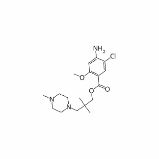 COc1cc(N)c(Cl)cc1C(=O)OCC(C)(C)CN1CCN(C)CC1